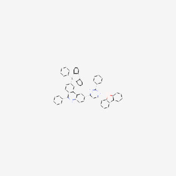 c1ccc(-c2nc(-c3ccc4nc(-c5ccccc5)c5cc6c(cc5c4c3)C3(c4ccccc4S6)c4ccccc4-c4ccccc43)cc(-c3cccc4c3oc3ccccc34)n2)cc1